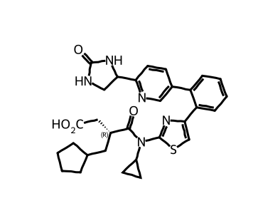 O=C(O)C[C@@H](CC1CCCC1)C(=O)N(c1nc(-c2ccccc2-c2ccc(C3CNC(=O)N3)nc2)cs1)C1CC1